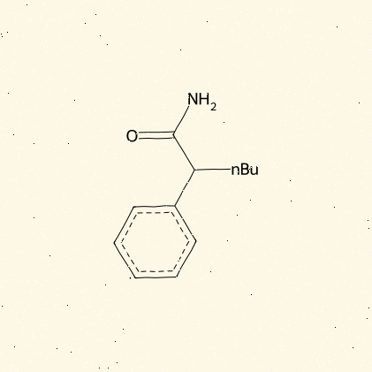 CCCCC(C(N)=O)c1cc[c]cc1